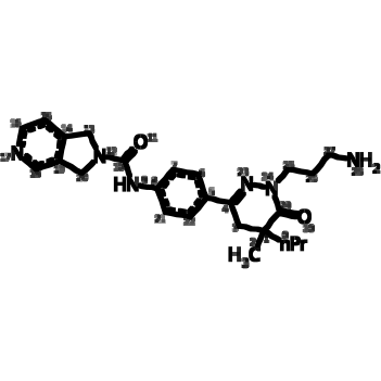 CCCC1(C)CC(c2ccc(NC(=O)N3Cc4ccncc4C3)cc2)=NN(CCCN)C1=O